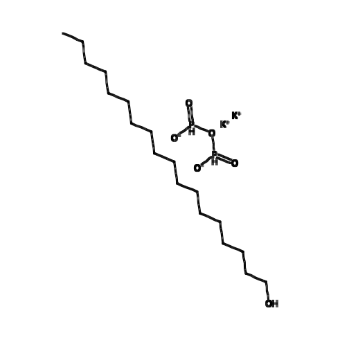 CCCCCCCCCCCCCCCCCCO.O=[PH]([O-])O[PH](=O)[O-].[K+].[K+]